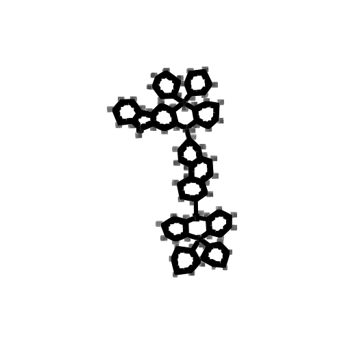 c1ccc([Si]2(c3ccccc3)c3ccccc3N(c3ccc4c(ccc5cc(N6c7ccccc7[Si](c7ccccc7)(c7ccccc7)c7cc8c(cc76)oc6ccccc68)ccc54)c3)c3ccccc32)cc1